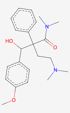 COc1ccc(C(O)C(CCN(C)C)(C(=O)N(C)C)c2ccccc2)cc1